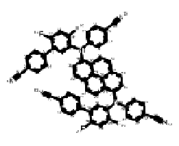 N#Cc1ccc(-c2cc(N(c3ccc(C#N)cc3)c3ccc4ccc5c(N(c6ccc(C#N)cc6)c6cc(-c7ccc(C#N)cc7)c(F)cc6F)ccc6ccc3c4c65)c(F)cc2F)cc1